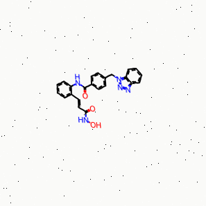 O=C(C=Cc1ccccc1NC(=O)c1ccc(Cn2nnc3ccccc32)cc1)NO